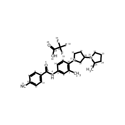 Cc1cc(NC(=O)c2ccc(C#N)cc2)ccc1N1CCC(N2CCCC2C)C1.O=C(O)C(F)(F)F